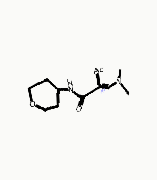 CC(=O)/C(=C\N(C)C)C(=O)NC1CCOCC1